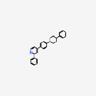 c1ccc(-c2cc(-c3ccc(C4CCC(c5ccccc5)CC4)cc3)ccn2)cc1